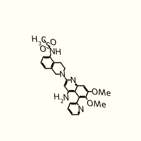 COc1cc2nc(N3CCc4c(cccc4NS(C)(=O)=O)C3)cc(N)c2c(-c2ccccn2)c1OC